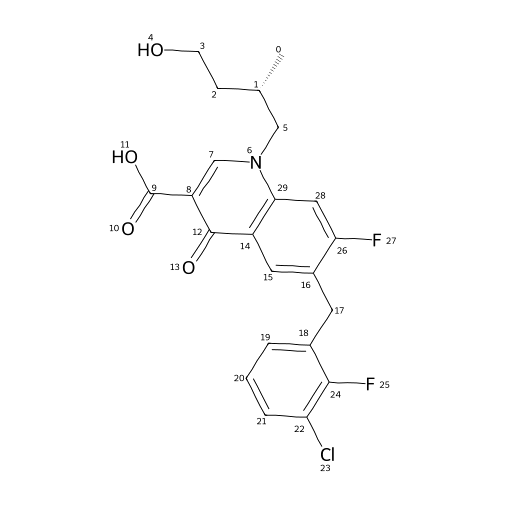 C[C@@H](CCO)Cn1cc(C(=O)O)c(=O)c2cc(Cc3cccc(Cl)c3F)c(F)cc21